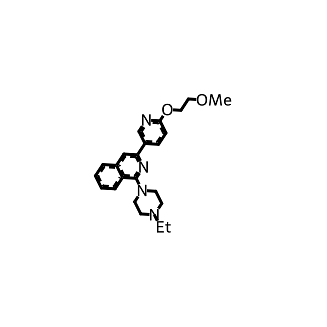 CCN1CCN(c2nc(-c3ccc(OCCOC)nc3)cc3ccccc23)CC1